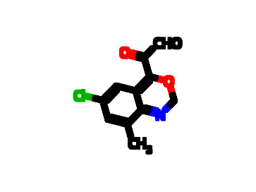 Cc1cc(Cl)cc2c1=NCOC=2C(=O)C=O